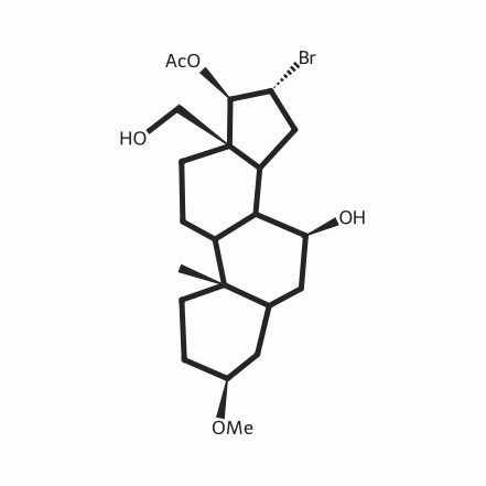 CO[C@H]1CC[C@@]2(C)C(C1)C[C@H](O)C1C2CC[C@@]2(CO)C1C[C@@H](Br)[C@@H]2OC(C)=O